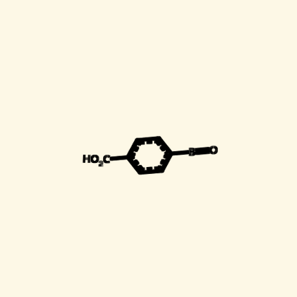 O=Bc1ccc(C(=O)O)cc1